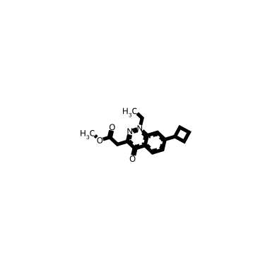 CCn1nc(CC(=O)OC)c(=O)c2ccc(C3CCC3)cc21